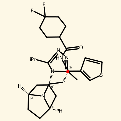 Cc1nnc(C(C)C)n1[C@@H]1C[C@H]2CC[C@@H](C1)N2CC[C@H](NC(=O)C1CCC(F)(F)CC1)c1ccsc1